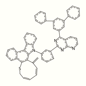 C=C1/C=C\C=C/CSc2c1c1c(c3ccccc23)c2ccccc2n1-c1cccc(-c2nc(-c3cc(-c4ccccc4)cc(-c4ccccc4)c3)c3cccnc3n2)c1